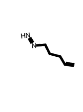 C=CCCCN=N